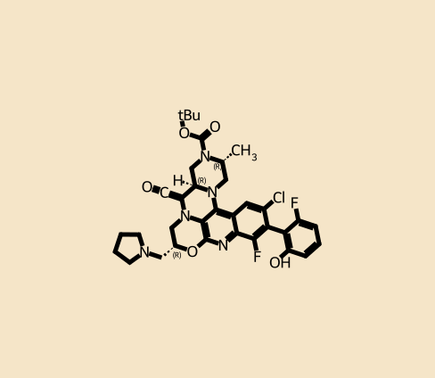 C[C@@H]1CN2c3c4c(nc5c(F)c(-c6c(O)cccc6F)c(Cl)cc35)O[C@H](CN3CCCC3)CN4C(=C=O)[C@H]2CN1C(=O)OC(C)(C)C